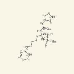 CCCCS(=O)(=O)NC(CCCCNC1N=CCCN1)(NC(=O)CC1CCNO1)C(=O)O